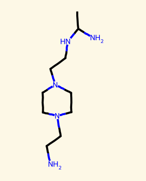 CC(N)NCCN1CCN(CCN)CC1